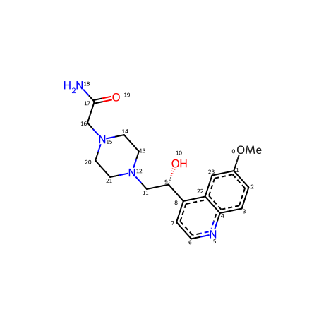 COc1ccc2nccc([C@@H](O)CN3CCN(CC(N)=O)CC3)c2c1